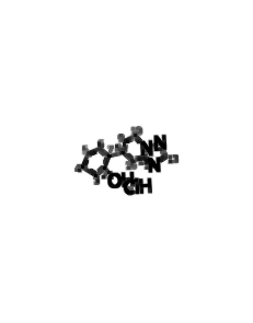 Cl.Oc1ccccc1-c1ccn2ncnc2c1